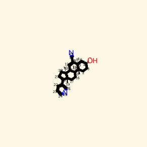 C[C@]12CC[C@H](O)C[C@]1(C)C(C#N)=CC1[C@]2(C)CC[C@]2(C)C(c3cccnc3)=CC[C@@]12C